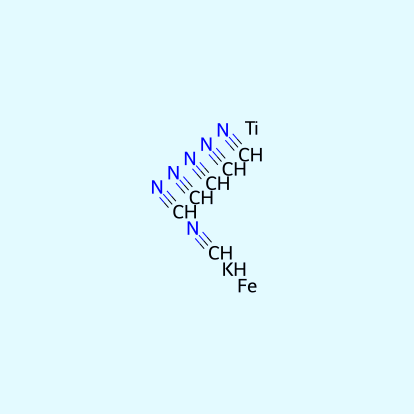 C#N.C#N.C#N.C#N.C#N.C#N.[Fe].[KH].[Ti]